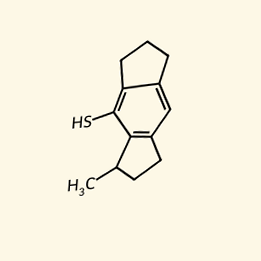 CC1CCc2cc3c(c(S)c21)CCC3